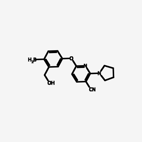 Bc1ccc(Oc2ccc(C#N)c(N3CCCC3)n2)cc1CO